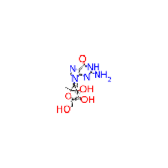 CC12O[C@H](CO)[C@H](O)[C@@]1(O)[C@@H]2n1cnc2c(=O)[nH]c(N)nc21